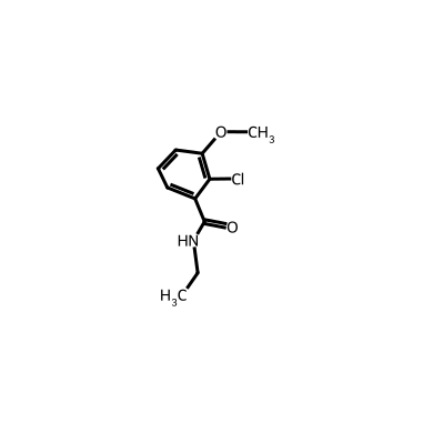 CCNC(=O)c1cccc(OC)c1Cl